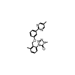 Cc1cnc(-c2cccc(OCc3c(C)cccc3-n3nnn(C)c3=O)c2)nc1